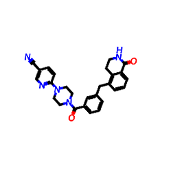 N#Cc1ccc(N2CCN(C(=O)c3cccc(Cc4cccc5c4CCNC5=O)c3)CC2)nc1